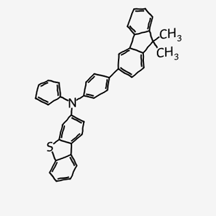 CC1(C)c2ccccc2-c2cc(-c3ccc(N(c4ccccc4)c4ccc5c(c4)sc4ccccc45)cc3)ccc21